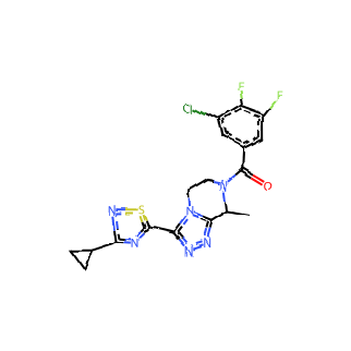 CC1c2nnc(-c3nc(C4CC4)ns3)n2CCN1C(=O)c1cc(F)c(F)c(Cl)c1